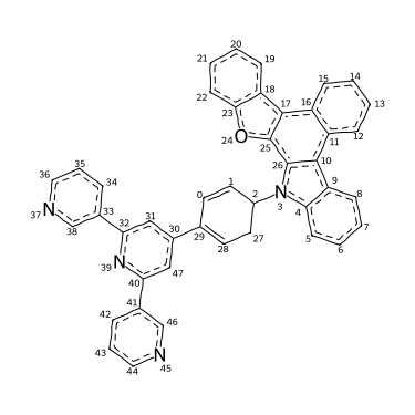 C1=CC(n2c3ccccc3c3c4ccccc4c4c5ccccc5oc4c32)CC=C1c1cc(-c2cccnc2)nc(-c2cccnc2)c1